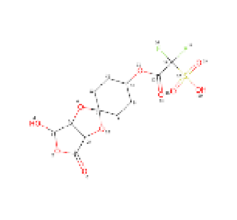 O=C1OC(O)C2OC3(CCC(OC(=O)C(F)(F)S(=O)(=O)O)CC3)OC12